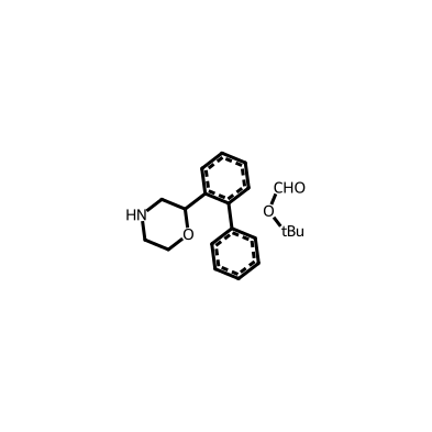 CC(C)(C)OC=O.c1ccc(-c2ccccc2C2CNCCO2)cc1